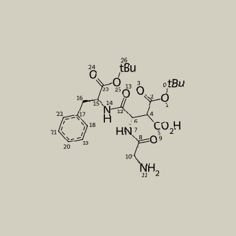 CC(C)(C)OC(=O)C(C(=O)O)[C@H](NC(=O)CN)C(=O)N[C@@H](Cc1ccccc1)C(=O)OC(C)(C)C